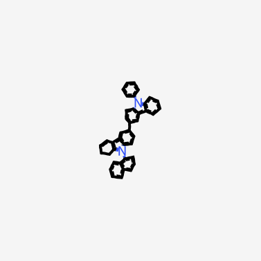 C1=Cc2c(n(-c3cccc4ccccc34)c3ccc(-c4ccc5c(c4)c4ccccc4n5-c4ccccc4)cc23)CC1